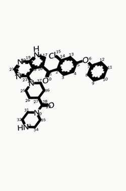 O=C(c1ccc(Oc2ccccc2)cc1Cl)c1c[nH]c2ncnc(N3CCC(C(=O)N4CCNCC4)CC3)c12